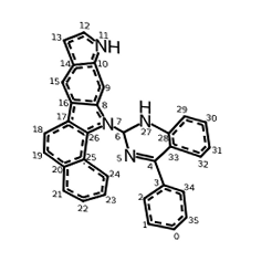 c1ccc(C2=NC(n3c4cc5[nH]ccc5cc4c4ccc5ccccc5c43)Nc3ccccc32)cc1